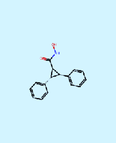 O=C(NO)C1[C@@H](c2ccccc2)[C@@H]1c1ccccc1